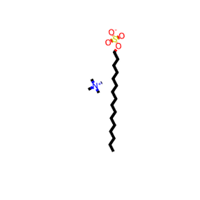 CCCCCCCCCCCCCCCCOS(=O)(=O)[O-].C[N+](C)(C)C